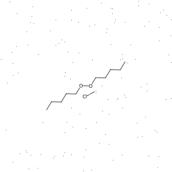 CCCCCOOCCCCC.[C]Cl